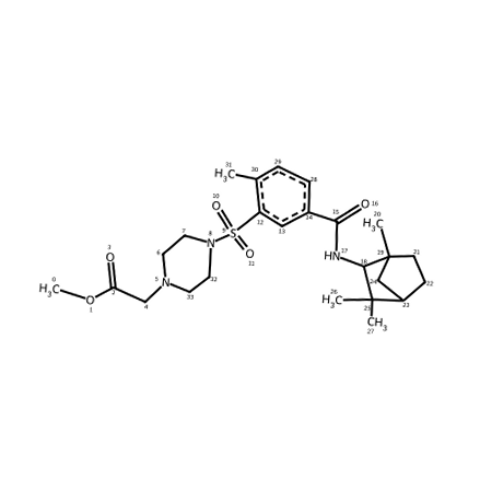 COC(=O)CN1CCN(S(=O)(=O)c2cc(C(=O)NC3C4(C)CCC(C4)C3(C)C)ccc2C)CC1